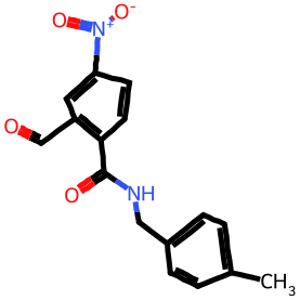 Cc1ccc(CNC(=O)c2ccc([N+](=O)[O-])cc2C=O)cc1